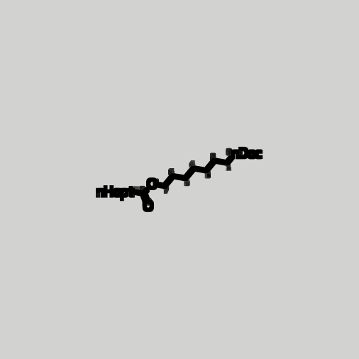 CCCCCCCCCCCCCCCCCOC(=O)CCCCCCC